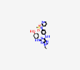 CCn1cnc2c(Nc3ccc(N(c4cccnc4)S(C)(=O)=O)cc3)nc(N[C@H]3CC[C@H](O)CC3)nc21